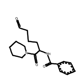 O=CCCCC(NC(=O)c1ccccc1)C(=O)N1CCCCC1